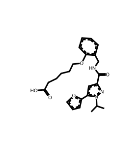 CC(C)n1nc(C(=O)NCc2ccccc2OCCCCCC(=O)O)cc1-c1ccco1